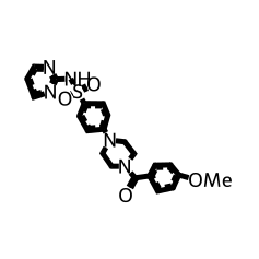 COc1ccc(C(=O)N2CCN(c3ccc(S(=O)(=O)Nc4ncccn4)cc3)CC2)cc1